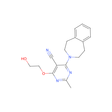 Cc1nc(OCCO)c(C#N)c(N2CCc3ccccc3CC2)n1